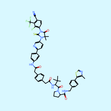 Cc1ncsc1-c1ccc(CNC(=O)C2CCCN2C(=O)C(NC(=O)Cc2ccc(CC(=O)Nc3ccc(-c4ccc(N5C(=S)N(c6ccc(C#N)c(C(F)(F)F)c6F)C(=O)C5(C)C)cn4)cc3)cc2)C(C)(C)C)cc1